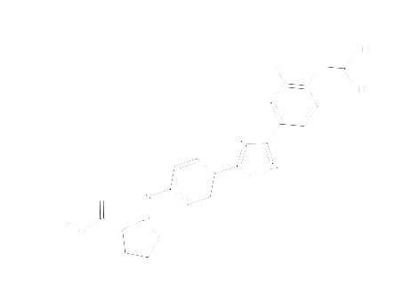 COC(=O)[C@H]1CCC[C@H]1NC1=CCC(c2nc(-c3ccc(OC(C)C)c(Cl)c3)no2)C=C1